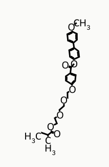 CCC(C)C(=O)OCCOCCOCCOc1ccc(C(=O)Oc2ccc(-c3ccc(OC)cc3)cc2)cc1